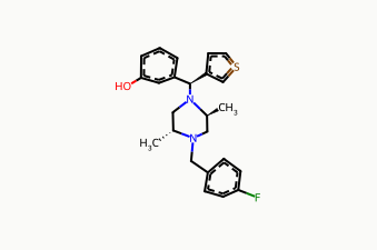 C[C@@H]1CN([C@H](c2ccsc2)c2cccc(O)c2)[C@@H](C)CN1Cc1ccc(F)cc1